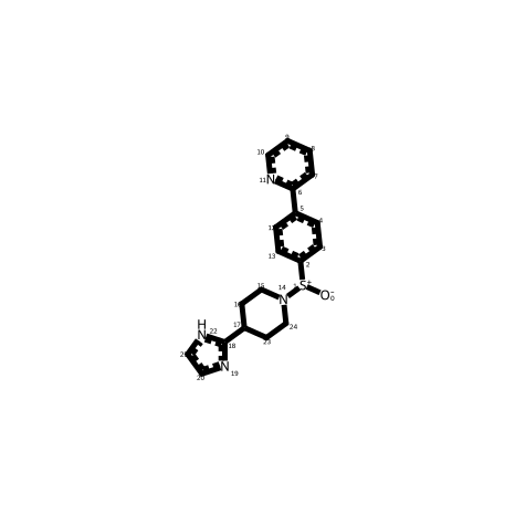 [O-][S+](c1ccc(-c2ccccn2)cc1)N1CCC(c2ncc[nH]2)CC1